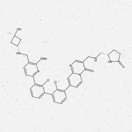 COc1nc(-c2cccc(-c3cccc(-c4ccn5c(=O)c(CNC[C@@H]6CCC(=O)N6)cnc5c4)c3Cl)c2Cl)ccc1CN[C@H]1C[C@](C)(O)C1